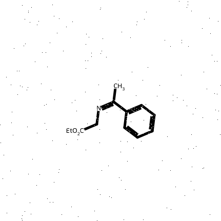 CCOC(=O)C/N=C(/C)c1ccccc1